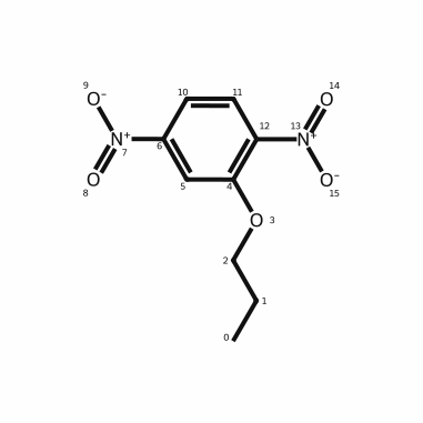 CCCOc1cc([N+](=O)[O-])ccc1[N+](=O)[O-]